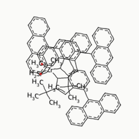 CC(C)(C)C1=Cc2c(-c3c4ccccc4cc4ccccc34)ccc(-c3c4ccccc4cc4ccccc34)c2[CH]1[Zr]([CH3])([CH3])(=[SiH2])[CH]1C(C(C)(C)C)=Cc2c(-c3c4ccccc4cc4ccccc34)ccc(-c3c4ccccc4cc4ccccc34)c21